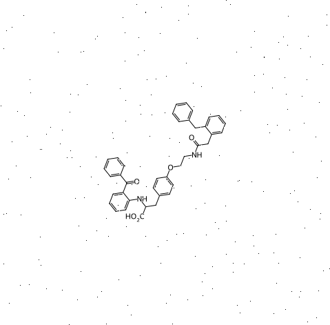 O=C(Cc1ccccc1Cc1ccccc1)NCCOc1ccc(CC(Nc2ccccc2C(=O)c2ccccc2)C(=O)O)cc1